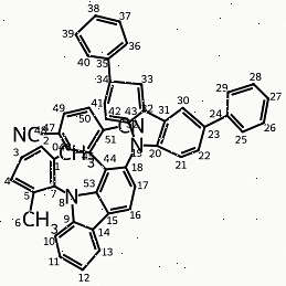 Cc1cccc(C)c1-n1c2ccccc2c2ccc(-n3c4ccc(-c5ccccc5)cc4c4cc(-c5ccccc5)ccc43)c(-c3cc(C#N)ccc3C#N)c21